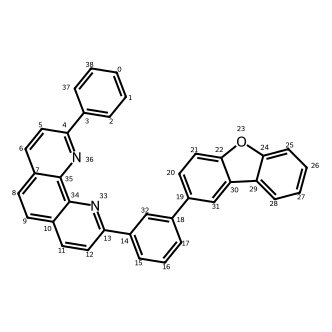 c1ccc(-c2ccc3ccc4ccc(-c5cccc(-c6ccc7oc8ccccc8c7c6)c5)nc4c3n2)cc1